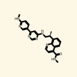 CNC(=O)c1ccnc2c([C@H](C)CNc3cc(-c4ccc(NC)nc4)ncn3)cccc12